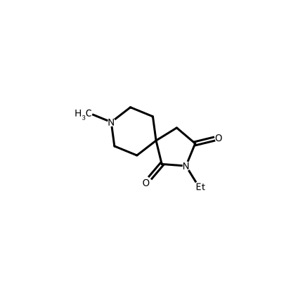 CCN1C(=O)CC2(CCN(C)CC2)C1=O